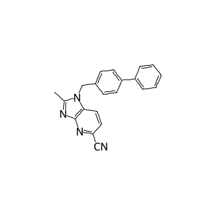 Cc1nc2nc(C#N)ccc2n1Cc1ccc(-c2ccccc2)cc1